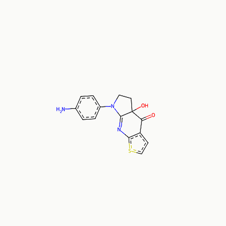 Nc1ccc(N2CCC3(O)C(=O)c4ccsc4N=C23)cc1